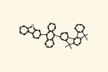 CC1(C)c2ccccc2-c2c1ccc1c2-c2ccc(-c3c4ccccc4c(-c4ccc5c(c4)oc4ccccc45)c4ccccc34)cc2C1(C)C